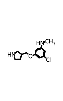 CNc1cc(Cl)cc(OCC2CCNC2)c1